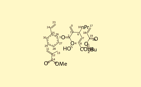 C=C(C(=O)OO)C(C=CC(=O)O)CCC.C=C(C)C(=O)OC.C=CC(=O)OCCCC.C=Cc1ccccc1